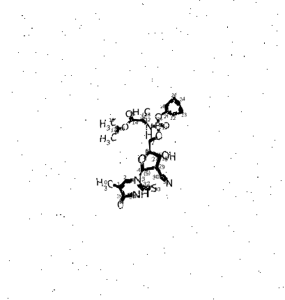 Cc1cn([C@H]2O[C@@H](COP(=O)(N[C@@H](C)C(=O)OC(C)C)Oc3ccccc3)[C@@H](O)C2C#N)c(=S)[nH]c1=O